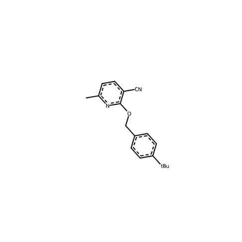 Cc1ccc(C#N)c(OCc2ccc(C(C)(C)C)cc2)n1